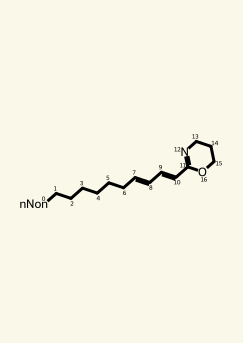 CCCCCCCCCCCCCCCC=CC=CC1=NCCCO1